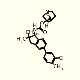 Cc1ccc(-c2ccc3c(c2)CC(C)(C)[C@H]3NC(=O)O[C@H]2CN3CCC2CC3)cc1Cl